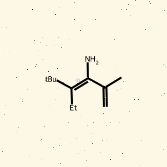 C=C(C)/C(N)=C(\CC)C(C)(C)C